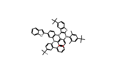 Cc1cc2c3c(c1)N(c1c(C)cc(C(C)(C)C)cc1C)c1sc4ccc(C(C)(C)C)cc4c1B3c1ccc(-c3cc4ccccc4o3)cc1N2c1ccc(C(C)(C)C)cc1-c1ccccc1